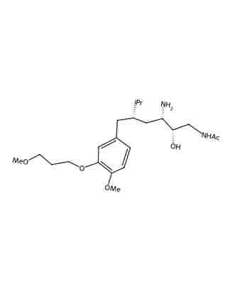 COCCCOc1cc(C[C@@H](C[C@H](N)[C@@H](O)CNC(C)=O)C(C)C)ccc1OC